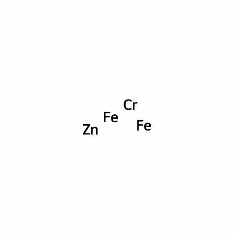 [Cr].[Fe].[Fe].[Zn]